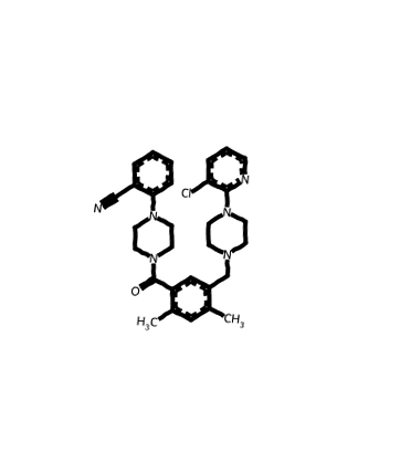 Cc1cc(C)c(C(=O)N2CCN(c3ccccc3C#N)CC2)cc1CN1CCN(c2ncccc2Cl)CC1